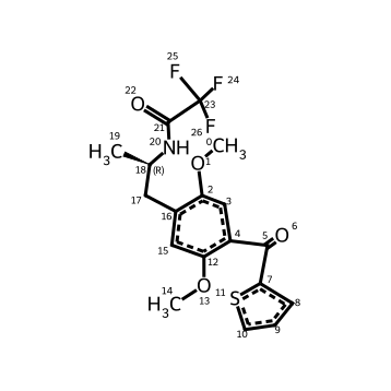 COc1cc(C(=O)c2cccs2)c(OC)cc1C[C@@H](C)NC(=O)C(F)(F)F